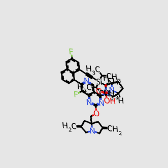 C=C1CN2CC(=C)CC2(COc2nc(N3C[C@H]4CC[C@@H](C3)N4C(=O)O)c3cnc(-c4cccc5cc(F)cc(C#C[Si](C(C)C)(C(C)C)C(C)C)c45)c(F)c3n2)C1